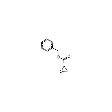 O=C(OCc1ccccc1)C1CO1